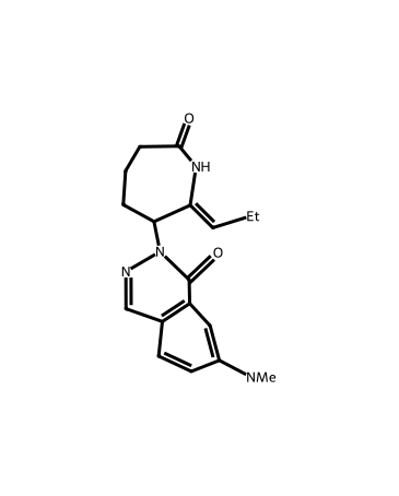 CCC=C1NC(=O)CCCC1n1ncc2ccc(NC)cc2c1=O